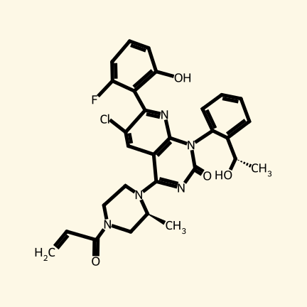 C=CC(=O)N1CCN(c2nc(=O)n(-c3ccccc3[C@H](C)O)c3nc(-c4c(O)cccc4F)c(Cl)cc23)[C@@H](C)C1